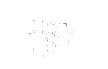 CCCCCCCC(C(CC)[Si]1(C)C(C)O[Si](C)(C)[Si](C)(C)[Si]1(C)C)C(CC)[Si]1(C)C(C)O[Si](C)(C)[Si](C)(C)[Si]1(C)C